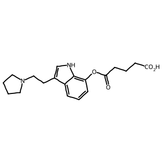 O=C(O)CCCC(=O)Oc1cccc2c(CCN3CCCC3)c[nH]c12